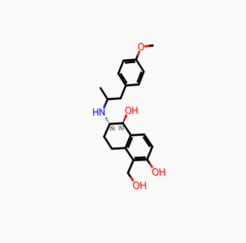 COc1ccc(CC(C)N[C@H]2CCc3c(ccc(O)c3CO)[C@@H]2O)cc1